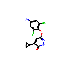 Nc1cc(Cl)c(Oc2cc(C3CC3)c(=O)[nH]n2)c(Cl)c1